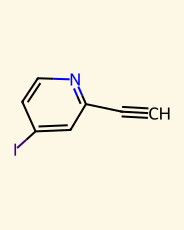 C#Cc1cc(I)ccn1